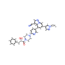 Cn1cc(-c2cc(-c3ccc(N4CCN(C(=O)[C@@H](O)Cc5ccccc5)CC4)nc3)c3c(C#N)cnn3c2)cn1